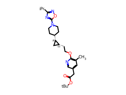 Cc1cc(CC(=O)OC(C)(C)C)cnc1OCC[C@@H]1C[C@@H]1C1CCN(c2nc(C(C)C)no2)CC1